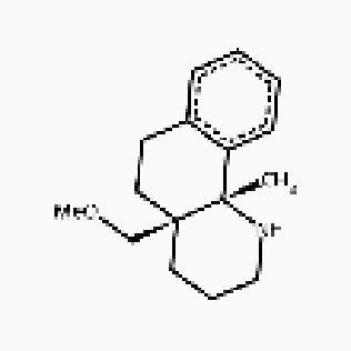 COC[C@]12CCCN[C@@]1(C)c1ccccc1CC2